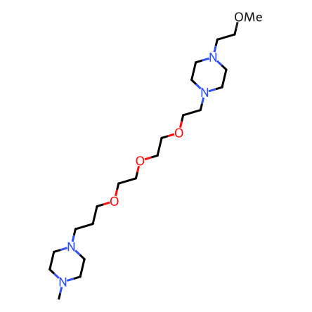 COCCN1CCN(CCOCCOCCOCCCN2CCN(C)CC2)CC1